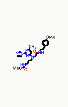 COC(=O)NCCCN(CC(=O)NCCc1ccc(OC)cc1)c1cc(C)nc(-n2ccnc2)n1